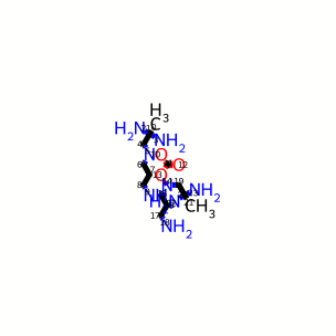 CC(N)(N)CN(CCCN)OC(=O)ON(CCCN)CC(C)(N)N